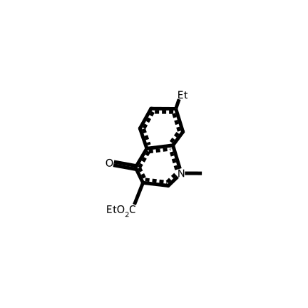 CCOC(=O)c1cn(C)c2cc(CC)ccc2c1=O